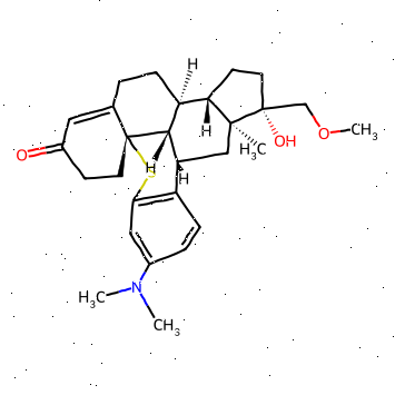 COC[C@]1(O)CC[C@H]2[C@@H]3CCC4=CC(=O)CC[C@@]45Sc4cc(N(C)C)ccc4[C@@H](C[C@@]21C)[C@@H]35